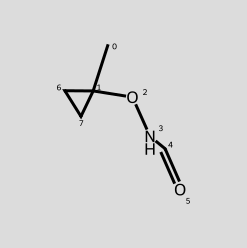 CC1(ONC=O)CC1